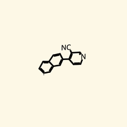 N#Cc1cnccc1-c1ccc2cc[c]cc2c1